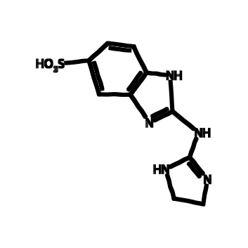 O=S(=O)(O)c1ccc2[nH]c(NC3=NCCN3)nc2c1